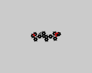 C[Si]1(C)c2cc(N(c3ccccc3)c3ccccc3-c3ccccc3)ccc2-c2cc3c4ccccc4c(-c4ccc(N(c5ccccc5-c5ccccc5)c5cccc6c5oc5ccccc56)cc4)cc3c3cccc1c23